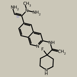 C=C(Nc1cc2cc(/C(=C/N)N(C)N)ccc2cn1)C1(F)CCNCC1